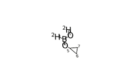 [2H]OB([2H])OC1CC1